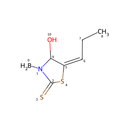 BN1C(=S)S/C(=C/CC)C1O